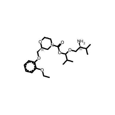 CCOc1ccccc1OC[C@@H]1CN(C(=O)OC(OC[C@@H](N)C(C)C)C(C)C)CCO1